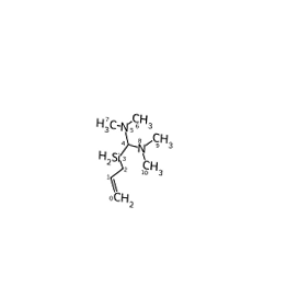 C=CC[SiH2]C(N(C)C)N(C)C